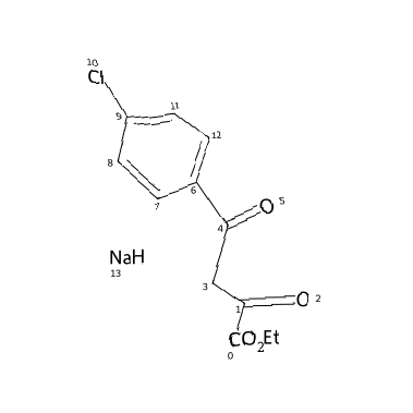 CCOC(=O)C(=O)CC(=O)c1ccc(Cl)cc1.[NaH]